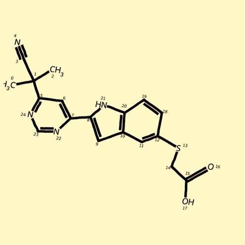 CC(C)(C#N)c1cc(-c2cc3cc(SCC(=O)O)ccc3[nH]2)ncn1